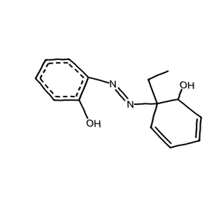 CCC1(N=Nc2ccccc2O)C=CC=CC1O